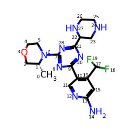 C[C@@H]1COCCN1c1nc(-c2cnc(N)cc2C(F)F)nc(C2CNCCN2)n1